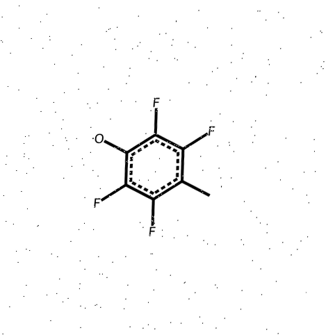 Cc1c(F)c(F)c([O])c(F)c1F